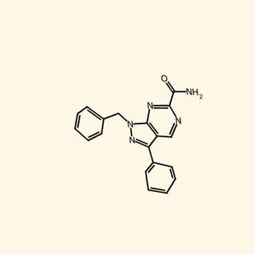 NC(=O)c1ncc2c(-c3ccccc3)nn(Cc3ccccc3)c2n1